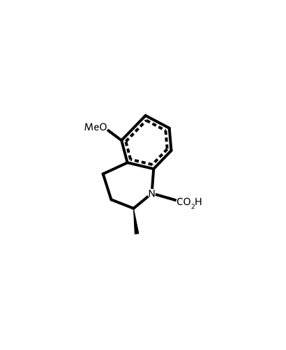 COc1cccc2c1CC[C@H](C)N2C(=O)O